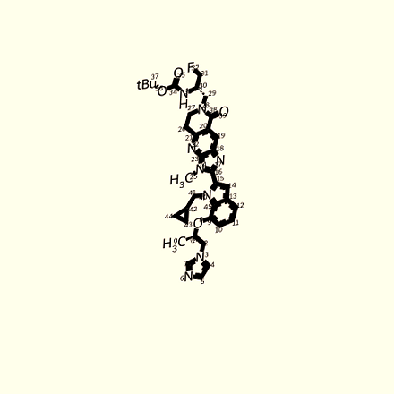 C[C@H](Cn1ccnc1)Oc1cccc2cc(-c3nc4cc5c(nc4n3C)CCN(C[C@@H](CF)NC(=O)OC(C)(C)C)C5=O)n(CC3CC3)c12